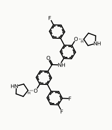 O=C(Nc1ccc(O[C@@H]2CCNC2)c(-c2ccc(F)cc2)c1)c1ccc(O[C@@H]2CCNC2)c(-c2ccc(F)c(F)c2)c1